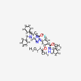 CCC[C@H](C)Oc1cc(-n2nc(CN(Cc3ccccc3)Cc3ccccc3)n(C)c2=O)c(F)cc1C(=O)Nc1ccccc1C